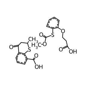 CC1CC(=O)c2cccc(C(=O)O)c2S1.COC(=O)Sc1ccccc1OCCC(=O)O